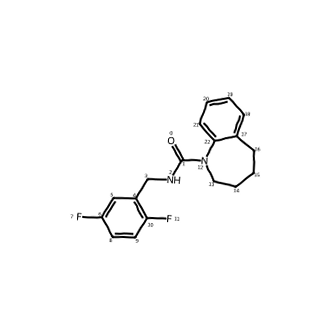 O=C(NCc1cc(F)ccc1F)N1CCCCc2ccccc21